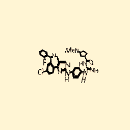 CNC1CCC(C(=O)NC(=N)Nc2ccc(Nc3ncc4c(n3)-c3ccc(Cl)cc3C(c3ccccc3F)=NC4)cc2)C1